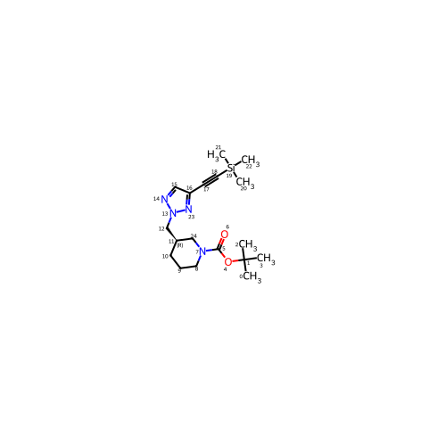 CC(C)(C)OC(=O)N1CCC[C@@H](Cn2ncc(C#C[Si](C)(C)C)n2)C1